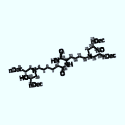 CCCCCCCCCCCCN(CCCCC1NC(=O)C(CCCCN(CCCCCCCCCCCC)CC(CCCCCCCCCC)N=O)NC1=O)CC(O)CCCCCCCCCC